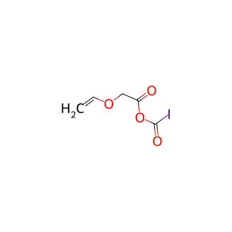 C=COCC(=O)OC(=O)I